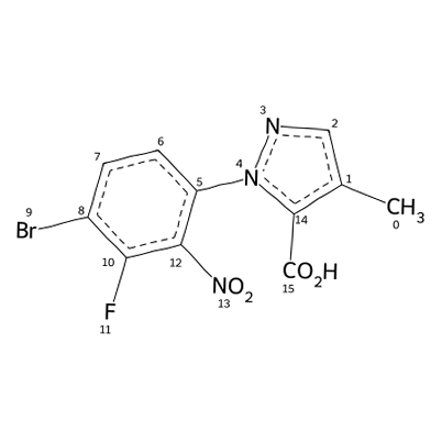 Cc1cnn(-c2ccc(Br)c(F)c2[N+](=O)[O-])c1C(=O)O